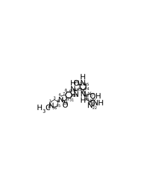 CN1CCC(N2Cc3cc4[nH]c(-c5c(N[C@@H](CO)Cc6c[nH]cn6)cc[nH]c5=O)nc4cc3C2=O)CC1